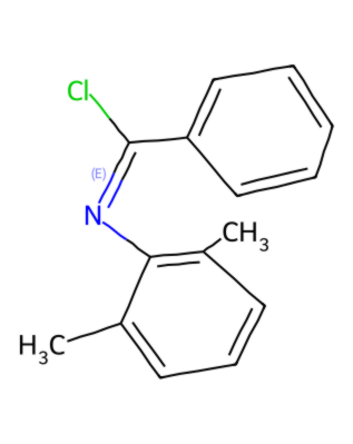 Cc1cccc(C)c1/N=C(/Cl)c1ccccc1